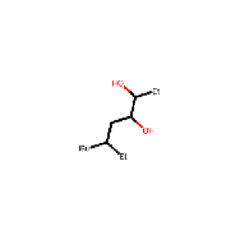 CCC(C)C(CC)CC(O)C(O)CC